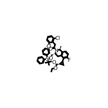 CCOC(=O)[C@@H]1CC1c1c(F)ccc2c1C[C@H](CO[Si](c1ccccc1)(c1ccccc1)C(C)(C)C)N(C(=O)Cc1c(Cl)cccc1Cl)[C@H]2C